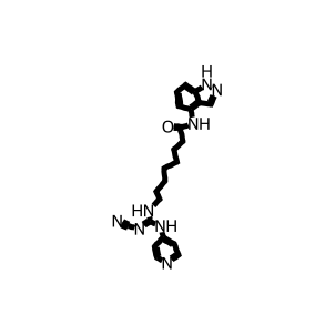 N#C/N=C(\NCCCCCCCC(=O)Nc1cccc2[nH]ncc12)Nc1ccncc1